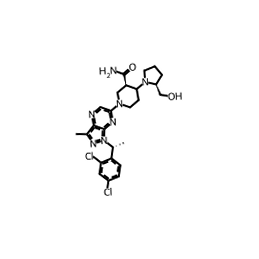 Cc1nn([C@H](C)c2ccc(Cl)cc2Cl)c2nc(N3CCC(N4CCC[C@H]4CO)[C@H](C(N)=O)C3)cnc12